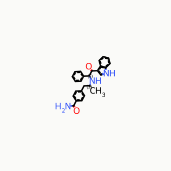 C[C@@H](Cc1ccc(C(N)=O)cc1)N[C@H](C(=O)c1c[nH]c2ccccc12)c1ccccc1